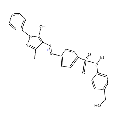 CCN(c1ccc(CO)cc1)S(=O)(=O)c1ccc(/N=N/c2c(C)nn(-c3ccccc3)c2O)cc1